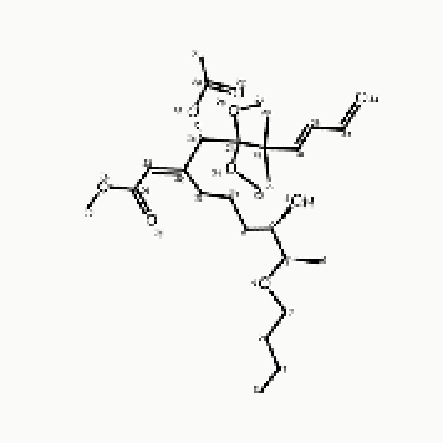 CCCCO[C@H](C)[C@H](O)CCC/C(=C\C(=O)OC)[C@H](OC(C)=O)C(OC)(OC)C(C)(C)/C=C/C=O